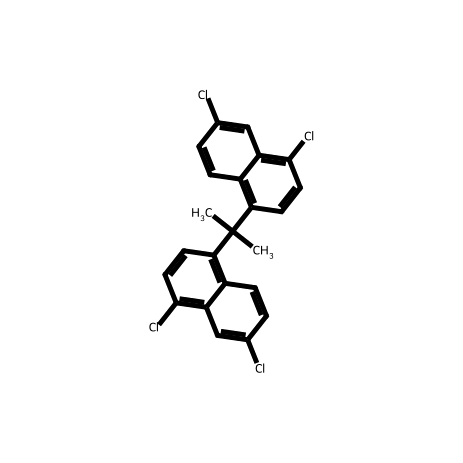 CC(C)(c1ccc(Cl)c2cc(Cl)ccc12)c1ccc(Cl)c2cc(Cl)ccc12